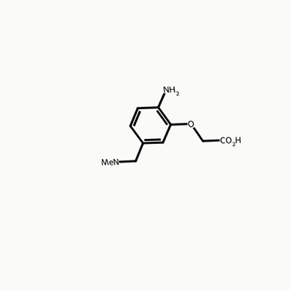 CNCc1ccc(N)c(OCC(=O)O)c1